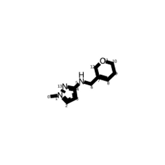 Cn1ccc(NCC2=CCCOC2)n1